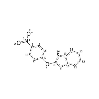 O=[N+]([O-])c1ccc(Oc2cc3ccccc3s2)cc1